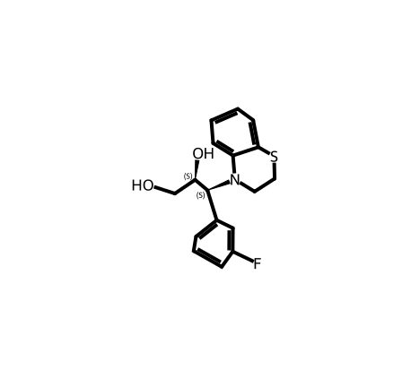 OC[C@@H](O)[C@H](c1cccc(F)c1)N1CCSc2ccccc21